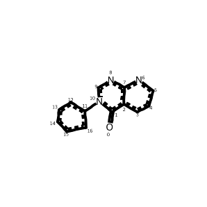 O=c1c2cccnc2n[c]n1-c1ccccc1